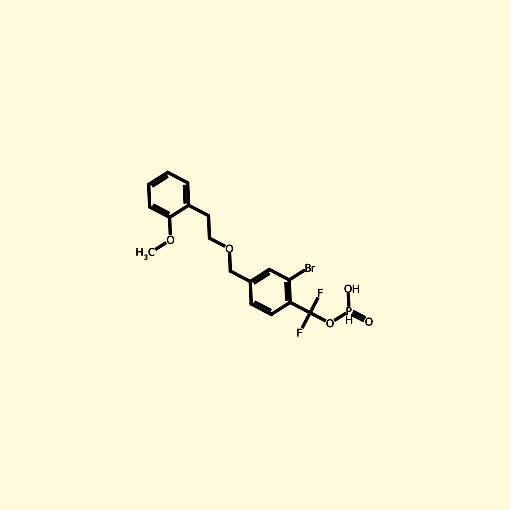 COc1ccccc1CCOCc1ccc(C(F)(F)O[PH](=O)O)c(Br)c1